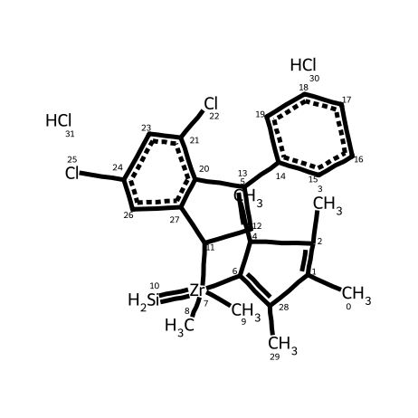 CC1=C(C)C(C)[C]([Zr]([CH3])([CH3])(=[SiH2])[CH]2C=C(c3ccccc3)c3c(Cl)cc(Cl)cc32)=C1C.Cl.Cl